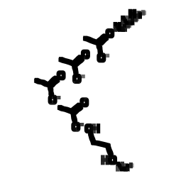 CC(=O)[O-].CC(=O)[O-].CC(=O)[O-].CC(=O)[O-].OCCO.[Na+].[Na+].[Na+].[Na+]